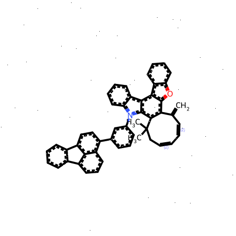 C=C1/C=C\C=C/CC(C)(C)c2c1c1oc3ccccc3c1c1c3ccccc3n(-c3cccc(-c4ccc5c6c(cccc46)-c4ccccc4-5)c3)c21